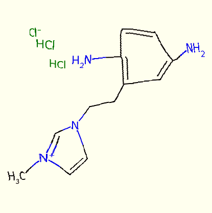 C[n+]1ccn(CCc2cc(N)ccc2N)c1.Cl.Cl.[Cl-]